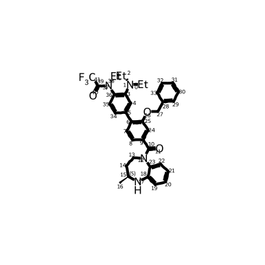 CCN(CC)c1cc(-c2ccc(C(=O)N3CC[C@H](C)Nc4ccccc43)cc2OCc2ccccc2)ccc1N(CC)C(=O)C(F)(F)F